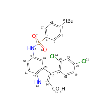 CC(C)(C)c1ccc(S(=O)(=O)Nc2ccc3[nH]c(C(=O)O)c(-c4ccc(Cl)cc4Cl)c3c2)cc1